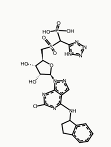 O=P(O)(O)C(c1nnn[nH]1)S(=O)(=O)C[C@H]1O[C@@H](n2ncc3c(NC4CCc5ccccc54)nc(Cl)nc32)[C@H](O)[C@@H]1O